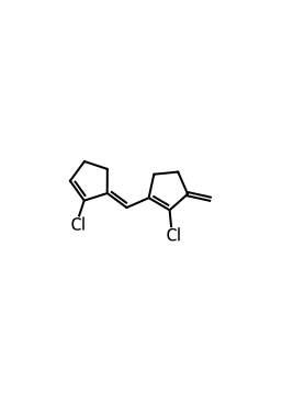 C=C1CCC(/C=C2\CCC=C2Cl)=C1Cl